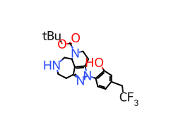 CC(C)(C)OC(=O)N1CCc2c3c(nn2-c2ccc(CC(F)(F)F)cc2O)CCNCC31